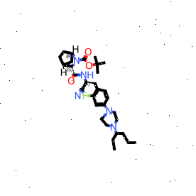 CCCC(CC)N1CCN(c2ccc(C[C@@H](C#N)NC(=O)[C@@H]3[C@H]4CC[C@H](C4)N3C(=O)OC(C)(C)C)c(F)c2)CC1